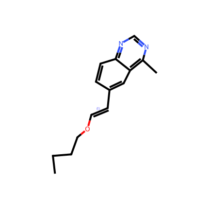 CCCCO/C=C/c1ccc2ncnc(C)c2c1